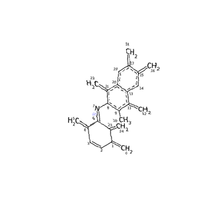 C=C1C=CC(=C)/C(=N/c2c(C)c(=C)c3cc(=C)c(=C)cc3c2=C)C1=C